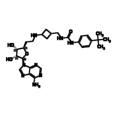 CC(C)(C)c1ccc(NC(=O)NCC2CC(NCC[C@H]3O[C@@H](n4cnc5c(N)ncnc54)[C@H](O)[C@@H]3O)C2)cc1